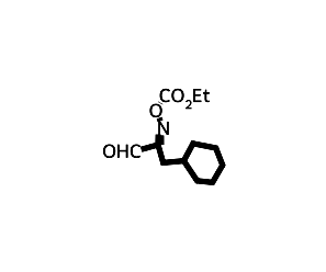 CCOC(=O)ON=C(C=O)CC1CCCCC1